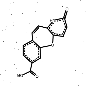 O=C(O)c1ccc2c(c1)Oc1ccc(=O)[nH]c1C=C2